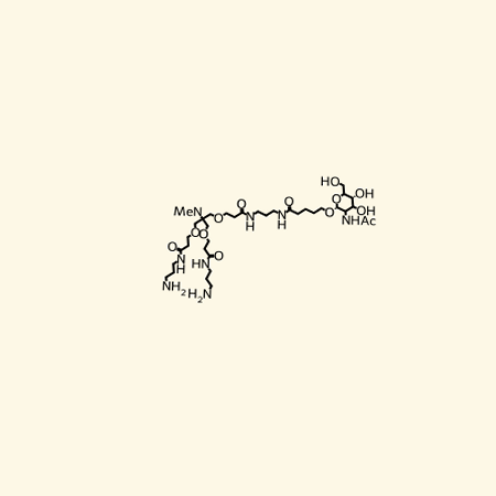 CNC(COCCC(=O)NCCCN)(COCCC(=O)NCCCN)COCCC(=O)NCCCNC(=O)CCCCO[C@@H]1OC(CO)[C@H](O)C(O)C1NC(C)=O